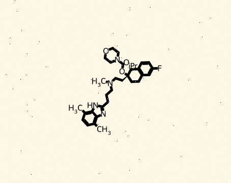 Cc1ccc(C)c2[nH]c(CCCN(C)CC[C@]3(OC(=O)N4CCOCC4)CCc4cc(F)ccc4[C@H]3C(C)C)nc12